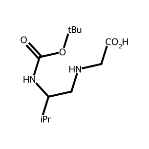 CC(C)C(CNCC(=O)O)NC(=O)OC(C)(C)C